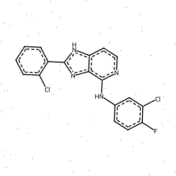 Fc1ccc(Nc2nccc3[nH]c(-c4ccccc4Cl)nc23)cc1Cl